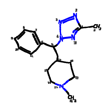 Cc1nnn(C(c2ccccc2)C2CCN(C)CC2)n1